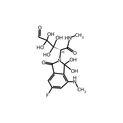 CNC(=O)[C@H](N1C(=O)c2cc(F)cc(NC)c2C1(O)O)C(O)(O)C(O)(O)C=O